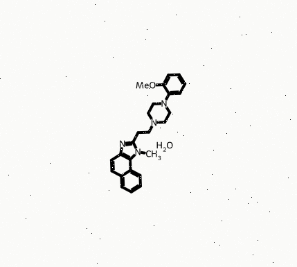 COc1ccccc1N1CCN(CCc2nc3ccc4ccccc4c3n2C)CC1.O